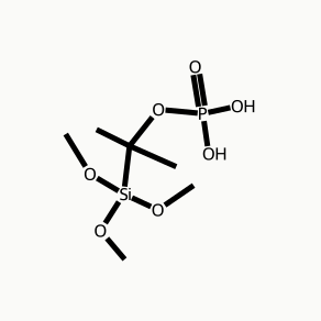 CO[Si](OC)(OC)C(C)(C)OP(=O)(O)O